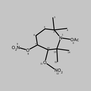 CC(=O)ON1C(C)(C)CCC(O[N+](=O)[O-])C(O[N+](=O)[O-])C1(C)C